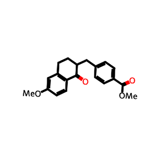 COC(=O)c1ccc(CC2CCc3cc(OC)ccc3C2=O)cc1